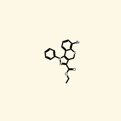 CCOC(=O)c1nn(-c2ccccc2)c2c1CSc1c(Br)cccc1-2